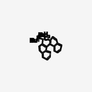 CC[C@@H](C)P(Cc1ccc2ccccc2c1-c1c(C)ccc2ccccc12)[C@@H](C)CC